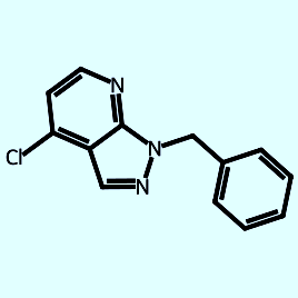 Clc1ccnc2c1cnn2Cc1ccccc1